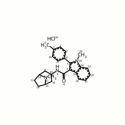 Cc1ccc(-c2c(C(=O)NC3CC4CCC(C3)N4C)c3ccccc3n2C)cc1.Cl